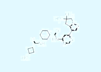 CC1(C)Cc2c(-c3cc(NC(=O)[C@H]4CCC[C@@H](NC(=O)[C@H]5C[C@@H](O)C5)C4)ncn3)cnn2C1